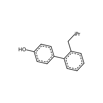 CC(C)Cc1ccccc1-c1ccc(O)cc1